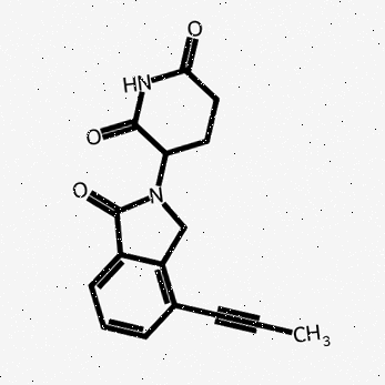 CC#Cc1cccc2c1CN(C1CCC(=O)NC1=O)C2=O